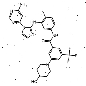 Cc1ccc(NC(=O)c2cc(N3CCC(O)CC3)cc(C(F)(F)F)c2)cc1Nc1nccn1-c1cc(N)ncn1